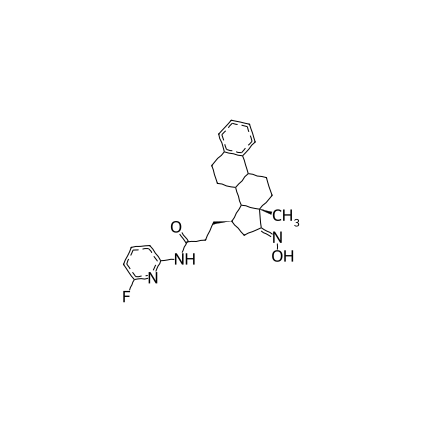 C[C@]12CCC3c4ccccc4CCC3C1[C@H](CCC(=O)Nc1cccc(F)n1)C/C2=N\O